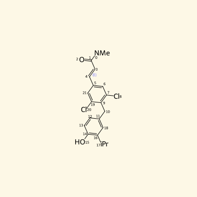 CNC(=O)/C=C/c1cc(Cl)c(Cc2ccc(O)c(C(C)C)c2)c(Cl)c1